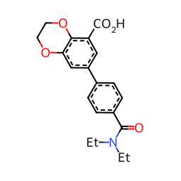 CCN(CC)C(=O)c1ccc(-c2cc3c(c(C(=O)O)c2)OCCO3)cc1